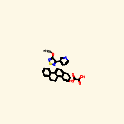 C1=Cc2c(ccc3c2CCc2ccccc2-3)CC1.CCCCCCOc1nsnc1-c1cccnc1.O=C(O)C(=O)O